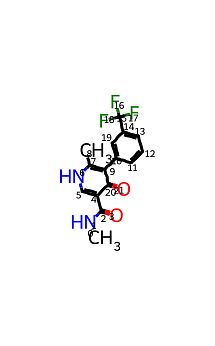 CNC(=O)c1c[nH]c(C)c(-c2cccc(C(F)(F)F)c2)c1=O